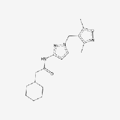 Cc1noc(C)c1Cn1ccc(NC(=O)CC2CCCCC2)n1